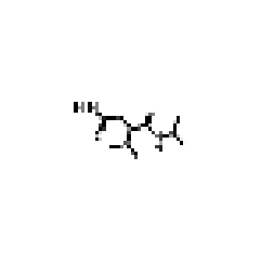 CC(C)NC(=O)C(CC(N)=O)C(C)C